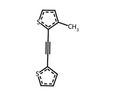 Cc1ccsc1C#Cc1cccs1